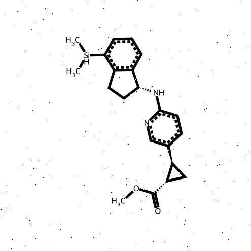 COC(=O)[C@H]1C[C@@H]1c1ccc(N[C@@H]2CCc3c2cccc3[SiH](C)C)nc1